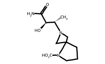 C[C@@H]([C@@H](O)C(N)=O)N1CC2(CCCN2C(=O)O)C1